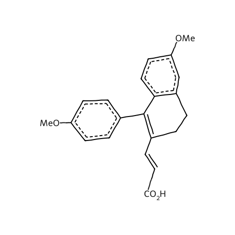 COc1ccc(C2=C(C=CC(=O)O)CCc3cc(OC)ccc32)cc1